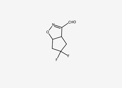 O=CC1=NOC2CC(F)(F)CC12